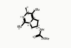 CNC(=O)N[C@H]1CC2=C(C(C)(C)C)[C@H](C)N=C(C(C)(C)C)N2C1